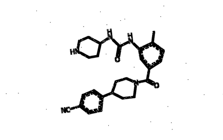 Cc1ccc(C(=O)N2CCC(c3ccc(C#N)cc3)CC2)cc1NC(=O)NC1CCNCC1